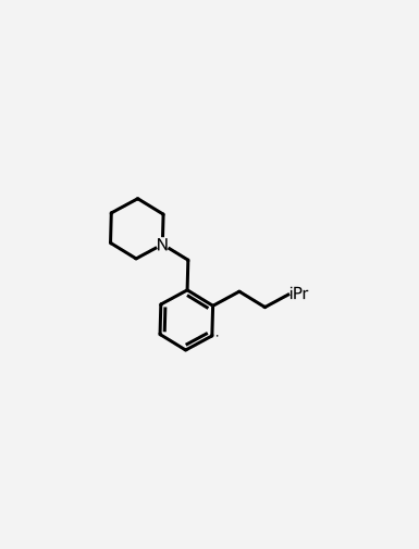 CC(C)CCc1[c]cccc1CN1CCCCC1